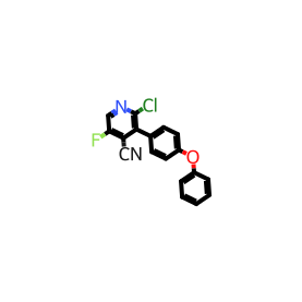 N#Cc1c(F)cnc(Cl)c1-c1ccc(Oc2ccccc2)cc1